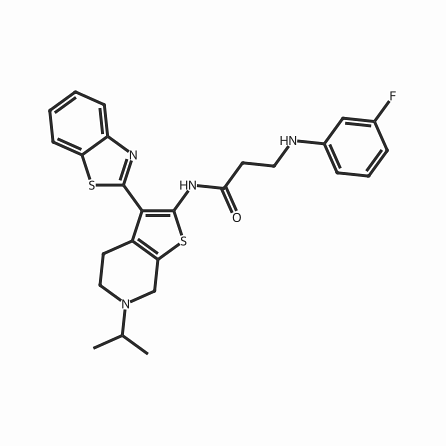 CC(C)N1CCc2c(sc(NC(=O)CCNc3cccc(F)c3)c2-c2nc3ccccc3s2)C1